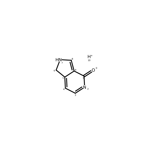 O=C1N=CC=C2CNC=C12.[H+]